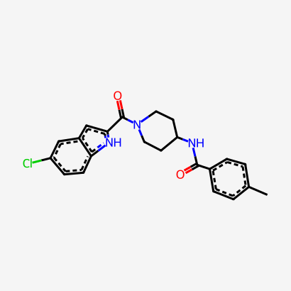 Cc1ccc(C(=O)NC2CCN(C(=O)c3cc4cc(Cl)ccc4[nH]3)CC2)cc1